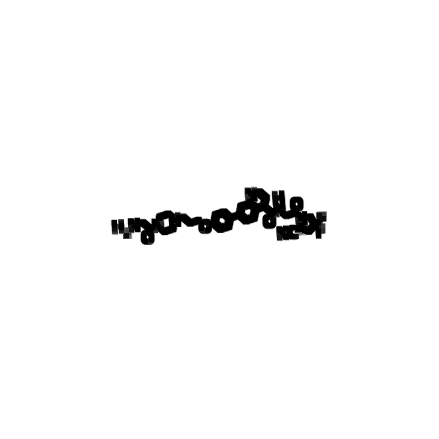 N#C[C@@H]1CC(F)(F)CN1C(=O)CNC(=O)c1ccnc2cc(-c3ccc(OCCCN4CCN(C(=O)CN)CC4)cc3)ccc12